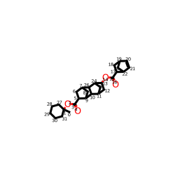 CC1(OC(=O)C2CC3CC2C2C4CC(OC(=O)C5CC6C=CC5C6)C(C4)C32)CCCCC1